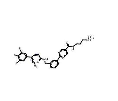 C/N=C(\C=C/C(=O)NCc1cccc(-c2ncc(C(=O)NCCCNC)cn2)c1)c1cc(F)c(F)c(F)c1